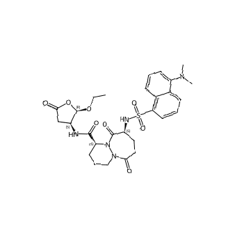 CCO[C@@H]1OC(=O)C[C@@H]1NC(=O)[C@@H]1CCCN2C(=O)CC[C@H](NS(=O)(=O)c3cccc4c(N(C)C)cccc34)C(=O)N12